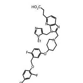 CCn1cncc1Cn1c(CN2CCC(Oc3ccc(F)c(COc4ccc(Cl)cc4F)c3)CC2)nc2ccc(CCC(=O)O)nc21